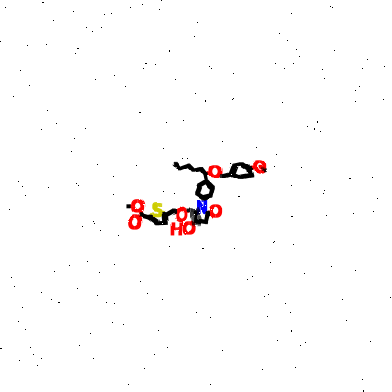 CCCCCC(OCc1ccc(OC)cc1)c1ccc(N2C(=O)C[C@H](O)[C@@H]2COCc2ccc(C(=O)OC)s2)cc1